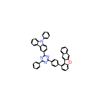 c1ccc(-c2nc(-c3ccc(-c4cccc5oc6cc7ccccc7cc6c45)cc3)nc(-c3ccc4c(c3)c3ccccc3n4-c3ccccc3)n2)cc1